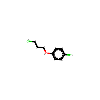 ClCCCOc1ccc(Cl)cc1